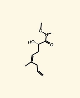 C=CC/C(C)=C\C[C@H](O)C(=O)N(C)OC